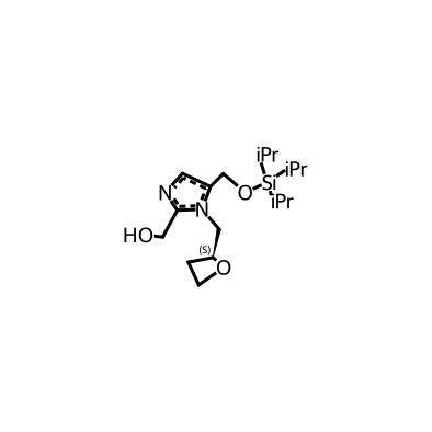 CC(C)[Si](OCc1cnc(CO)n1C[C@@H]1CCO1)(C(C)C)C(C)C